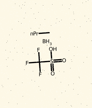 B.CCCC.O=S(=O)(O)C(F)(F)F